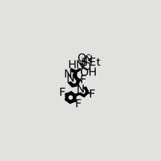 CCN(C)S(=O)(=O)NC(O)c1cnn2ccc(N3C[C@@H](F)CC3c3cc(F)ccc3F)c(F)c12